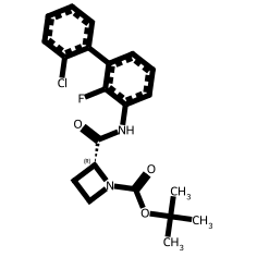 CC(C)(C)OC(=O)N1CC[C@@H]1C(=O)Nc1cccc(-c2ccccc2Cl)c1F